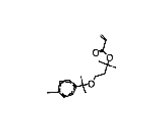 C=CC(=O)OC(C)(C)CCOC(C)(C)c1ccc(C)cc1